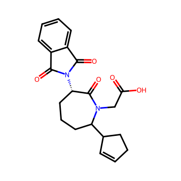 O=C(O)CN1C(=O)[C@@H](N2C(=O)c3ccccc3C2=O)CCCC1C1C=CCC1